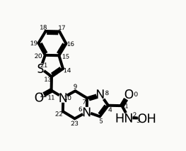 O=C(NO)c1cn2c(n1)CN(C(=O)c1cc3ccccc3s1)CC2